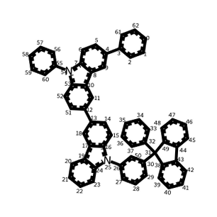 c1ccc(-c2ccc3c(c2)c2cc(-c4ccc5c(c4)c4ccccc4n5-c4cccc(C5(c6ccccc6)c6ccccc6-c6ccccc65)c4)ccc2n3-c2ccccc2)cc1